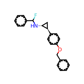 FC(N[C@@H]1C[C@H]1c1ccc(OCc2ccccc2)cc1)c1ccccc1